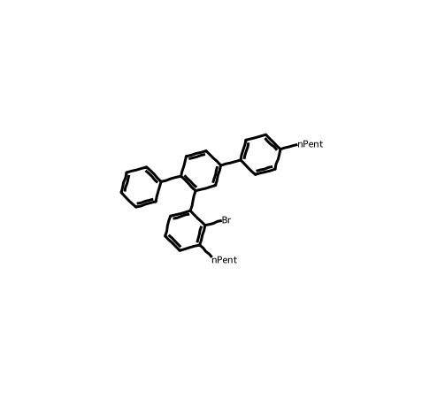 CCCCCc1ccc(-c2ccc(-c3ccccc3)c(-c3cccc(CCCCC)c3Br)c2)cc1